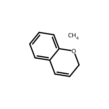 C.C1=Cc2ccccc2OC1